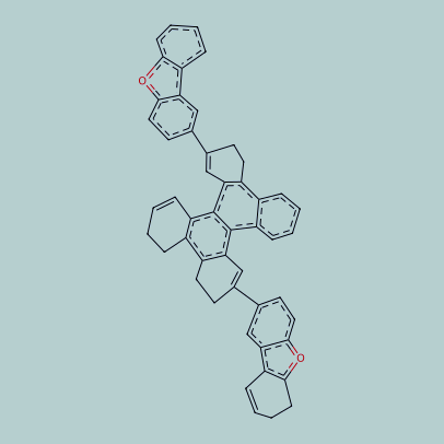 C1=Cc2c(oc3ccc(C4=Cc5c(c6c(c7c8c(c9ccccc9c57)CCC(c5ccc7oc9ccccc9c7c5)=C8)C=CCC6)CC4)cc23)CC1